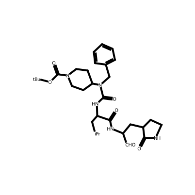 CC(C)CC(NC(=O)N(Cc1ccccc1)C1CCN(C(=O)OC(C)(C)C)CC1)C(=O)NC(C=O)CC1CCNC1=O